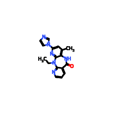 CCN1c2ncccc2C(=O)Nc2c(C)cc(-n3ccnc3)nc21